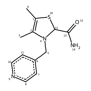 CC1=C(C)N(Cc2ccncc2)C(C(N)=O)S1